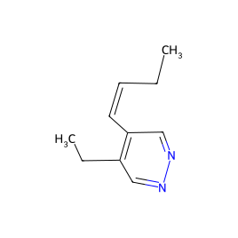 CC/C=C\c1cnncc1CC